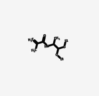 C=C(C)C(=O)NC(C)C(OCC)OCC